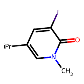 CC(C)c1cc(I)c(=O)n(C)c1